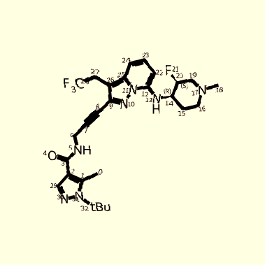 Cc1c(C(=O)NCC#Cc2nn3c(N[C@@H]4CCN(C)C[C@@H]4F)cccc3c2CC(F)(F)F)cnn1C(C)(C)C